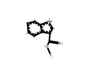 O=C(OF)c1c[nH]c2ccccc12